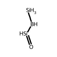 O=[SiH]B[SiH3]